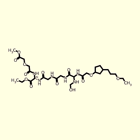 CCOCCCC1CCC(OCC(=O)NC(NCO)C(=O)NCC(=O)NCC(=O)N[C@@H](NC(=O)COCC(=O)OC)C(=O)OCC)C1